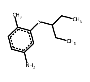 CCC(CC)Sc1cc(N)ccc1C